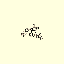 Cc1cccc(-c2c(-c3cccc(OC(F)(F)F)c3)cc3n2[C@@H](CCNC(=O)NC(C)(C)C)CNC3=O)c1